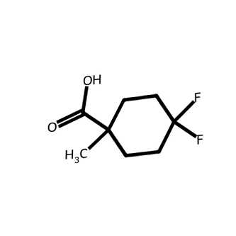 CC1(C(=O)O)CCC(F)(F)CC1